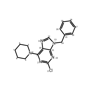 Clc1nc(N2CCCCC2)c2ncn(Cc3ccccc3)c2n1